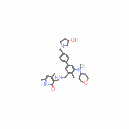 CCN(c1cc(-c2ccc(CN3CC[C@H](O)C3)cc2)cc(CNCc2c(C)cc(C)[nH]c2=O)c1C)C1CCOCC1